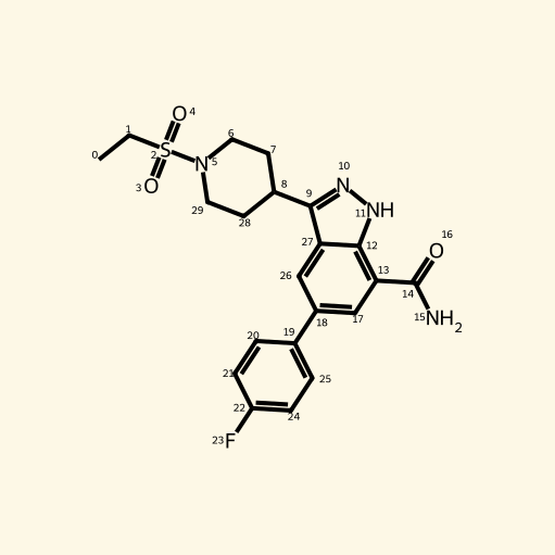 CCS(=O)(=O)N1CCC(c2n[nH]c3c(C(N)=O)cc(-c4ccc(F)cc4)cc23)CC1